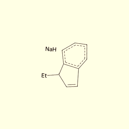 CC[C]1C=Cc2ccccc21.[NaH]